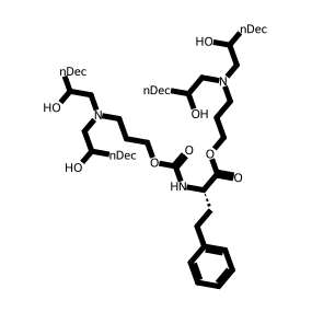 CCCCCCCCCCC(O)CN(CCCOC(=O)N[C@@H](CCc1ccccc1)C(=O)OCCCN(CC(O)CCCCCCCCCC)CC(O)CCCCCCCCCC)CC(O)CCCCCCCCCC